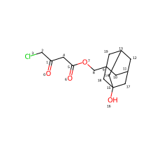 O=C(CCl)CC(=O)OCC12CC3CC(CC(O)(C3)C1)C2